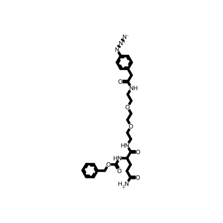 [N-]=[N+]=Nc1ccc(CC(=O)NCCOCCOCCNC(=O)C(CCC(N)=O)NC(=O)OCc2ccccc2)cc1